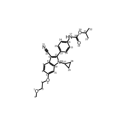 COCCOc1ccc2c(C#N)c(-c3ccc(NC(=O)OC(C)C)cc3)n(C3CC3)c2c1